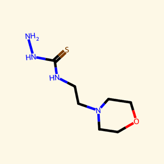 NNC(=S)NCCN1CCOCC1